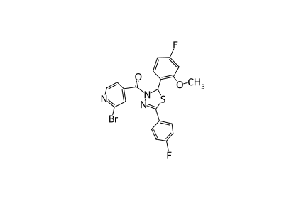 COc1cc(F)ccc1C1SC(c2ccc(F)cc2)=NN1C(=O)c1ccnc(Br)c1